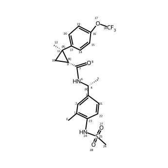 Cc1cc([C@@H](C)NC(=O)[C@@H]2C[C@@]2(C)c2ccc(OC(F)(F)F)cc2)ccc1NS(C)(=O)=O